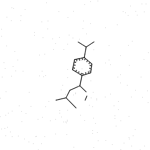 CC(C)CC(SF)c1ccc(C(C)C)cc1